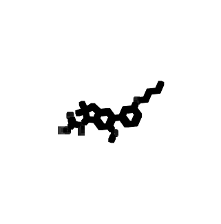 CCCCOc1cccc(-c2cc3c(cc2OC)C(NC(=O)O)C(C)(C)C3)c1